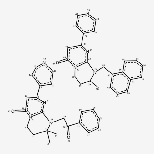 CC1(C)CCn2c(nc(-c3ccncc3)cc2=O)N1CC(=O)c1ccccc1.CC1CCn2c(nc(-c3ccncc3)cc2=O)N1Cc1cccc2ccccc12